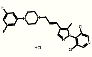 Cc1c(C=CCN2CCN(c3cc(F)cc(F)c3)CC2)cnn1-c1c(Cl)cncc1Cl.Cl